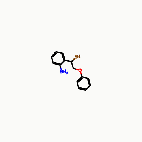 Nc1ccccc1C(S)COc1ccccc1